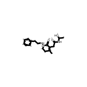 [CH2]C(O)NC(=O)CC1=C(C)CCN(NCCc2ccccc2)C1=O